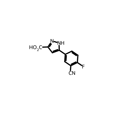 N#Cc1cc(-c2cc(C(=O)O)n[nH]2)ccc1F